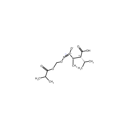 CC(C)C(=O)OCO/N=[N+](/[O-])N(C)[C@H](C(=O)O)C(C)C